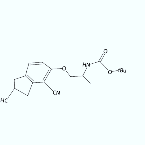 CC(COc1ccc2c(c1C#N)CC(C=O)C2)NC(=O)OC(C)(C)C